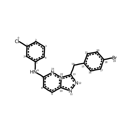 Clc1cccc(Nc2ccc3nnc(Cc4ccc(Br)cc4)n3n2)c1